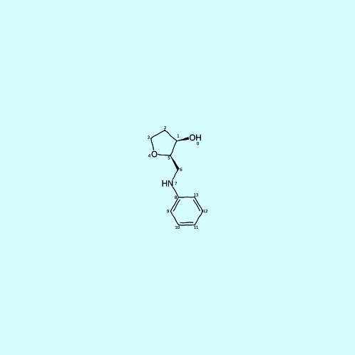 O[C@@H]1CCO[C@@H]1CNc1ccccc1